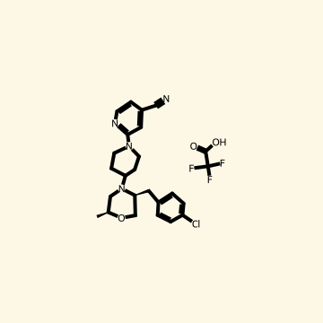 C[C@H]1CN(C2CCN(c3cc(C#N)ccn3)CC2)[C@@H](Cc2ccc(Cl)cc2)CO1.O=C(O)C(F)(F)F